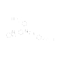 O=C(O)c1ccc(C=CC2=NN(c3ccc(-c4nc5ccccc5o4)cc3)C(c3ccc(C(=O)O)cc3)C2)cc1